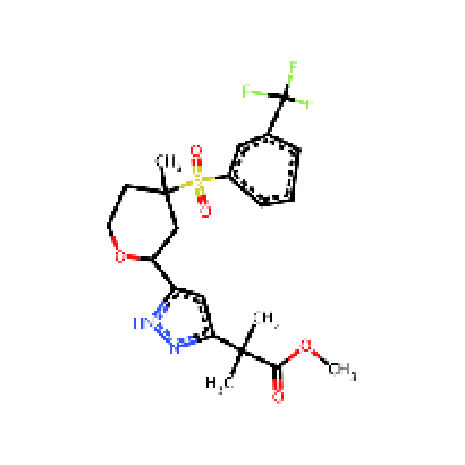 COC(=O)C(C)(C)c1cc(C2CC(C)(S(=O)(=O)c3cccc(C(F)(F)F)c3)CCO2)[nH]n1